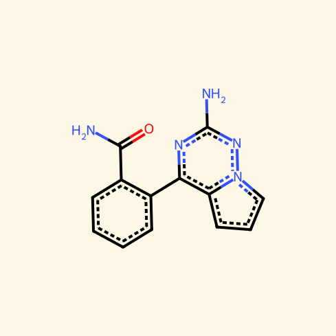 NC(=O)c1ccccc1-c1nc(N)nn2cccc12